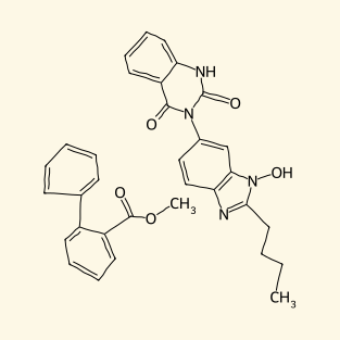 CCCCc1nc2ccc(-n3c(=O)[nH]c4ccccc4c3=O)cc2n1O.COC(=O)c1ccccc1-c1ccccc1